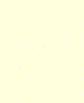 Cn1c(=O)c2c(O)n[nH]c2c2cnc(NCC3COc4ccccc4O3)nc21